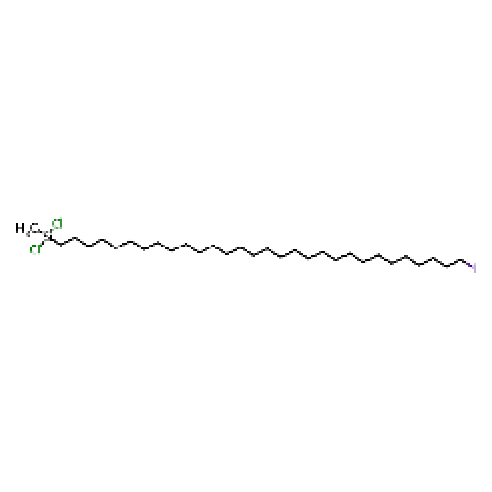 C[Si](Cl)(Cl)CCCCCCCCCCCCCCCCCCCCCCCCCCCCCCI